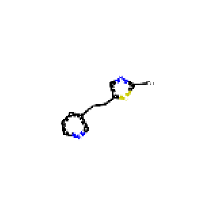 CC(C)(C)c1ncc(CCc2cccnc2)s1